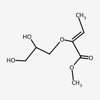 CC=C(OCC(O)CO)C(=O)OC